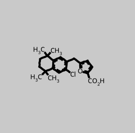 CC1(C)CCC(C)(C)c2cc(Cc3ccc(C(=O)O)o3)c(Cl)cc21